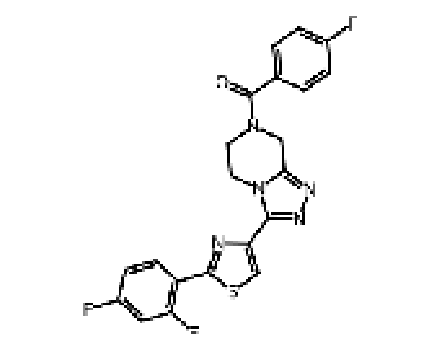 O=C(c1ccc(F)cc1)N1CCn2c(nnc2-c2csc(-c3ccc(F)cc3F)n2)C1